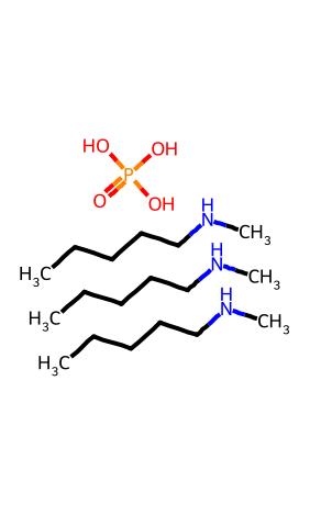 CCCCCNC.CCCCCNC.CCCCCNC.O=P(O)(O)O